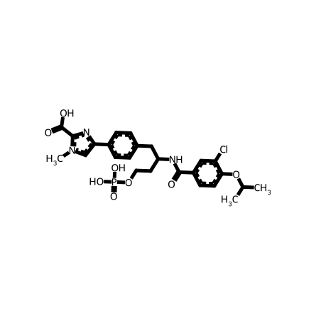 CC(C)Oc1ccc(C(=O)NC(CCOP(=O)(O)O)Cc2ccc(-c3cn(C)c(C(=O)O)n3)cc2)cc1Cl